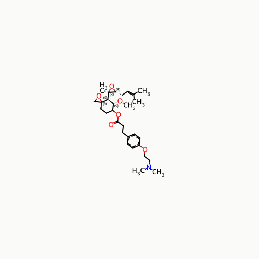 CO[C@@H]1C(OC(=O)CCc2ccc(OCCN(C)C)cc2)CC[C@]2(CO2)[C@H]1[C@@]1(C)O[C@@H]1CC=C(C)C